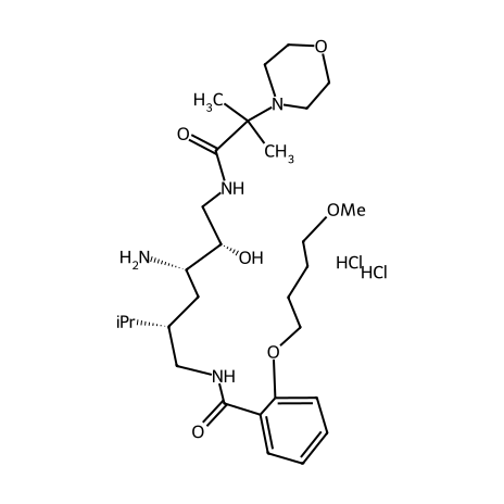 COCCCCOc1ccccc1C(=O)NC[C@@H](C[C@H](N)[C@@H](O)CNC(=O)C(C)(C)N1CCOCC1)C(C)C.Cl.Cl